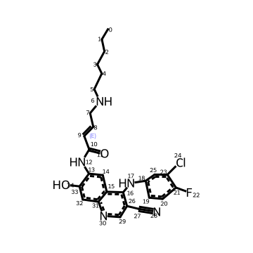 CCCCCCNC/C=C/C(=O)Nc1cc2c(Nc3ccc(F)c(Cl)c3)c(C#N)cnc2cc1O